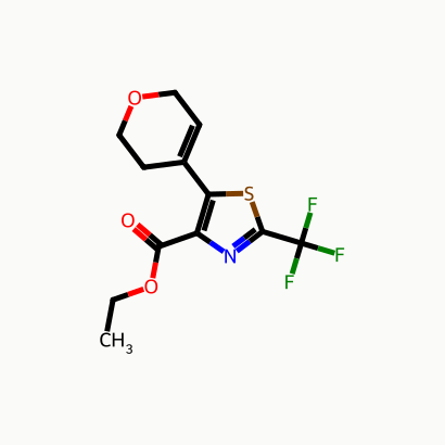 CCOC(=O)c1nc(C(F)(F)F)sc1C1=CCOCC1